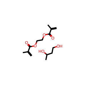 C=C(C)C(=O)OCCOC(=O)C(=C)C.CC(O)CCO